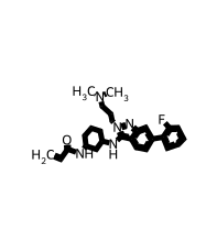 C=CC(=O)NC1CCCC(Nc2c3ccc(-c4ccccc4F)cc3nn2CCCN(C)C)C1